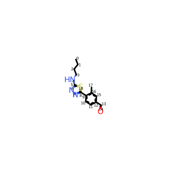 CCCCNc1nnc(-c2ccc(C=O)cc2C)s1